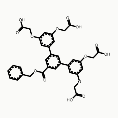 O=C(O)COc1cc(OCC(=O)O)cc(-c2cc(C(=O)OCc3ccccc3)cc(-c3cc(OCC(=O)O)cc(OCC(=O)O)c3)c2)c1